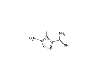 Cn1c([N+](=O)[O-])cnc1C(=N)N